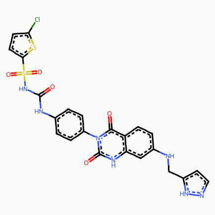 O=C(Nc1ccc(-n2c(=O)[nH]c3cc(NCc4ccn[nH]4)ccc3c2=O)cc1)NS(=O)(=O)c1ccc(Cl)s1